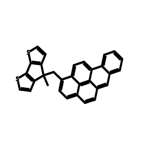 CC1(Cc2ccc3ccc4cc5ccccc5c5ccc2c3c45)c2ccsc2-c2sccc21